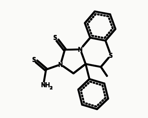 CC1Sc2ccccc2N2C(=S)N(C(N)=S)CC12c1ccccc1